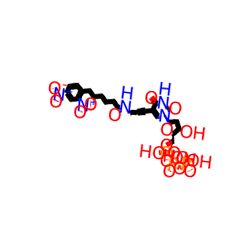 O=C(CCCCCc1ccc([N+](=O)[O-])cc1[N+](=O)[O-])NCC#Cc1cn([C@H]2C[C@H](O)[C@@H](COP(=O)(O)OP(=O)(O)OP(=O)(O)O)O2)c(=O)[nH]c1=O